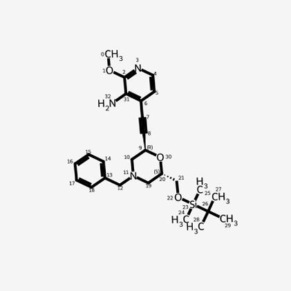 COc1nccc(C#C[C@@H]2CN(Cc3ccccc3)C[C@@H](CO[Si](C)(C)C(C)(C)C)O2)c1N